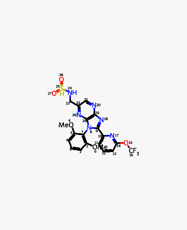 COc1cccc(OC)c1-n1c(-c2cccc(OC(F)(F)F)n2)nc2ncc(CN[SH](=O)=O)nc21